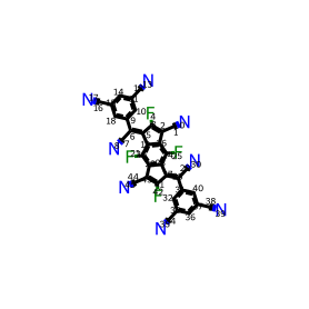 N#CC1=C(F)/C(=C(/C#N)c2cc(C#N)cc(C#N)c2)c2c(F)c3c(c(F)c21)/C(=C(\C#N)c1cc(C#N)cc(C#N)c1)C(F)=C3C#N